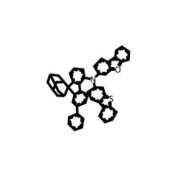 c1ccc(-c2ccc3c(c2)C2(c4cccc(N(c5ccc6c(c5)oc5ccccc56)c5ccc6c(c5)sc5ccccc56)c4-3)C3CC4CC(C3)CC2C4)cc1